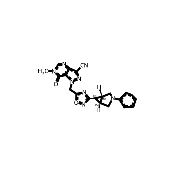 Cn1cnc2c(C#N)nn(Cc3nc([C@H]4[C@@H]5CN(c6ccccc6)C[C@@H]54)no3)c2c1=O